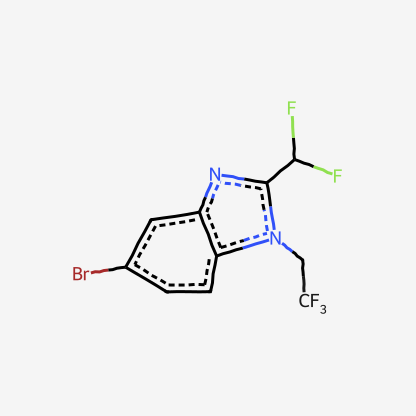 FC(F)c1nc2cc(Br)ccc2n1CC(F)(F)F